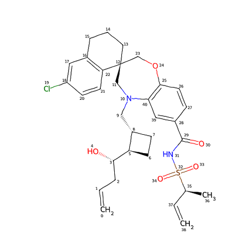 C=CC[C@H](O)[C@@H]1CC[C@H]1CN1C[C@@]2(CCCc3cc(Cl)ccc32)COc2ccc(C(=O)NS(=O)(=O)[C@@H](C)C=C)cc21